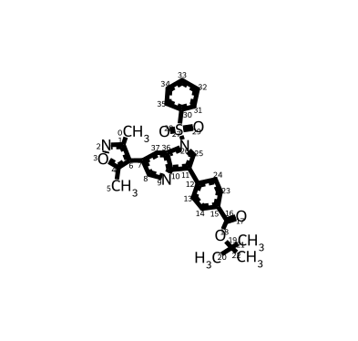 Cc1noc(C)c1-c1cnc2c(-c3ccc(C(=O)OC(C)(C)C)cc3)cn(S(=O)(=O)c3ccccc3)c2c1